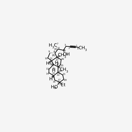 CC#CC[C@H](O)[C@@H](C)[C@H]1CC[C@H]2[C@@H]3CC[C@H]4C[C@](O)(CC)CC[C@]4(C)[C@H]3CC[C@]12C